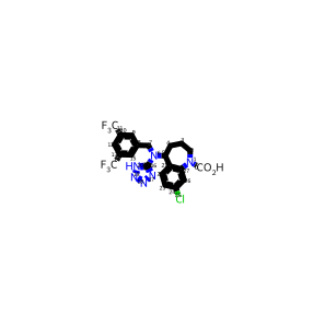 O=C(O)N1CCCC(N(Cc2cc(C(F)(F)F)cc(C(F)(F)F)c2)c2nnn[nH]2)c2ccc(Cl)cc21